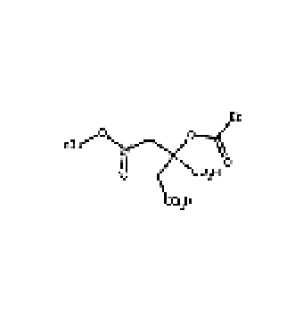 CCCCOC(=O)CC(CC(=O)O)(OC(=O)CC)C(=O)O